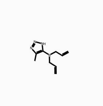 C=CCN(CC=C)c1[nH]nnc1C